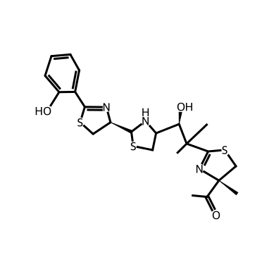 CC(=O)[C@@]1(C)CSC(C(C)(C)[C@H](O)C2CSC([C@H]3CSC(c4ccccc4O)=N3)N2)=N1